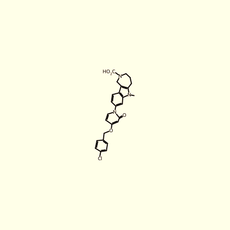 Cn1c2c(c3ccc(-n4ccc(OCc5ccc(Cl)cc5)cc4=O)cc31)CN(C(=O)O)CCC2